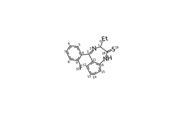 CCC1N=C(c2ccccc2F)c2ccccc2NC1=S